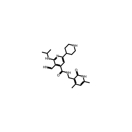 Cc1cc(C)c(CNC(=O)c2cc(C3CCNCC3)nc(NC(C)C)c2C=N)c(=O)[nH]1